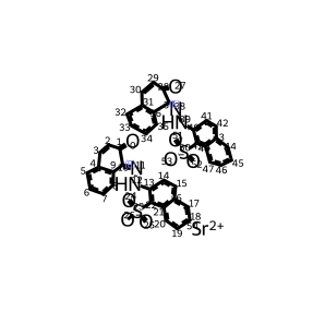 O=C1C=Cc2ccccc2/C1=N\Nc1ccc2ccccc2c1S(=O)(=O)[O-].O=C1C=Cc2ccccc2/C1=N\Nc1ccc2ccccc2c1S(=O)(=O)[O-].[Sr+2]